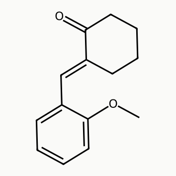 COc1ccccc1C=C1CCCCC1=O